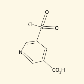 O=C(O)c1cncc(S(=O)(=O)Cl)c1